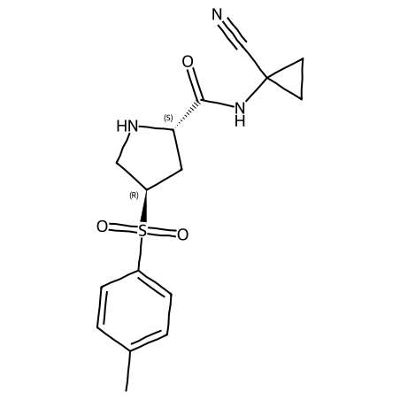 Cc1ccc(S(=O)(=O)[C@H]2CN[C@H](C(=O)NC3(C#N)CC3)C2)cc1